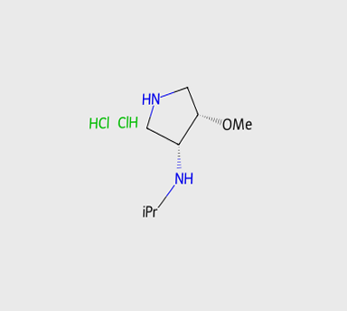 CO[C@H]1CNC[C@H]1NC(C)C.Cl.Cl